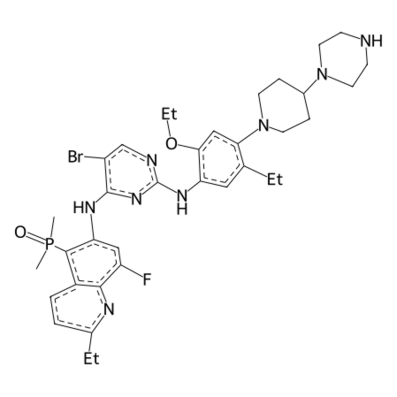 CCOc1cc(N2CCC(N3CCNCC3)CC2)c(CC)cc1Nc1ncc(Br)c(Nc2cc(F)c3nc(CC)ccc3c2P(C)(C)=O)n1